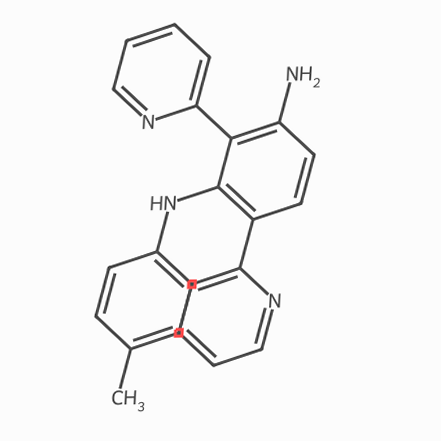 Cc1ccc(Nc2c(-c3ccccn3)ccc(N)c2-c2ccccn2)cc1